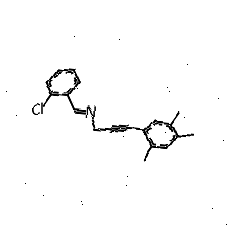 Cc1cc(C)c(C#CCN=Cc2ccccc2Cl)cc1C